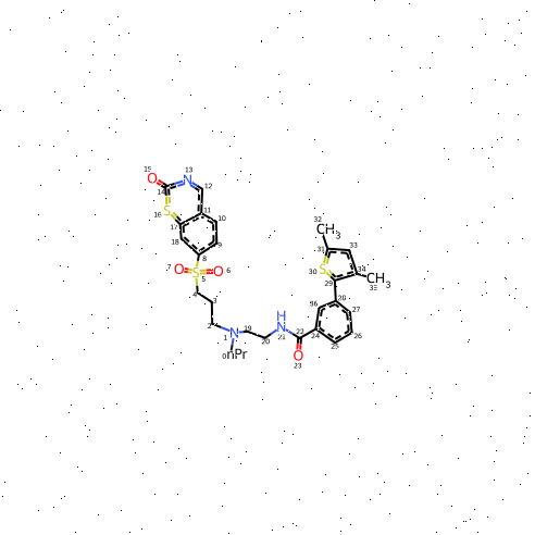 CCCN(CCCS(=O)(=O)c1ccc2cnc(=O)sc2c1)CCNC(=O)c1cccc(-c2sc(C)cc2C)c1